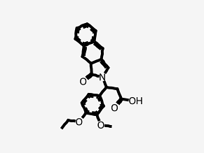 CCOc1ccc(C(CC(=O)O)N2C=C3C=c4ccccc4=CC3C2=O)cc1OC